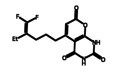 CCC(CCCc1cc(=O)oc2[nH]c(=O)[nH]c(=O)c12)=C(F)F